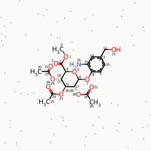 COC(=O)C1OC(Oc2ccc(CO)cc2N)[C@H](OC(C)=O)[C@@H](OC(C)=O)[C@@H]1OC(C)=O